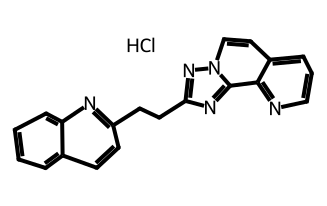 Cl.c1ccc2nc(CCc3nc4c5ncccc5ccn4n3)ccc2c1